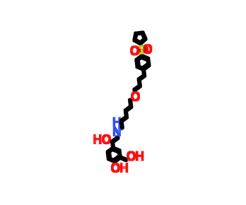 O=S(=O)(c1ccc(CCCCOCCCCCCNC[C@H](O)c2ccc(O)c(CO)c2)cc1)C1CCCC1